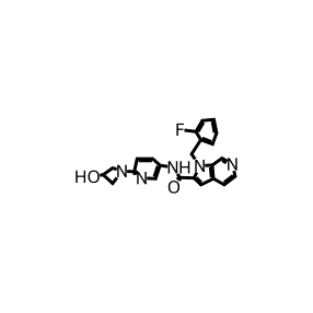 O=C(Nc1ccc(N2CC(O)C2)nc1)c1cc2ccncc2n1Cc1ccccc1F